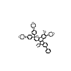 CCC1(CC)c2cc(-c3ccccc3)ccc2-c2c1c1c(c3cc(OC)c(N4CCOCC4)cc23)OC(c2ccc(N3CCOCC3)cc2)(c2ccc(N3CCOCC3)cc2)C=C1